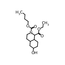 CCCCOC(=O)N1CCC2CC(O)CCC2C1C(=O)OCC